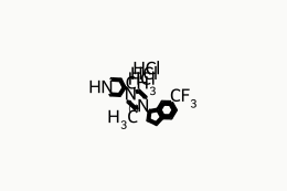 C[C@H]1CN(C2(C)CCNCC2)CCN1C1CCc2ccc(C(F)(F)F)cc21.Cl.Cl.Cl